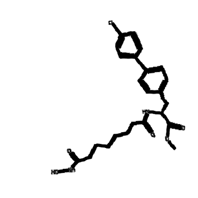 COC(=O)[C@H](Cc1ccc(-c2ccc(Cl)cc2)cc1)NC(=O)CCCCCCC(=O)NO